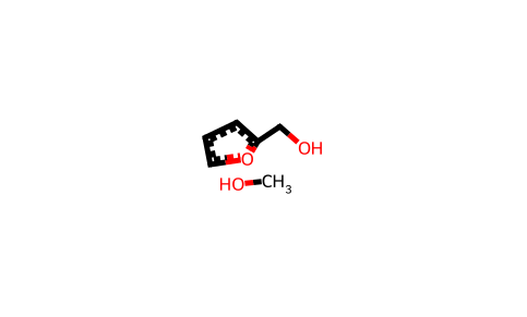 CO.OCc1ccco1